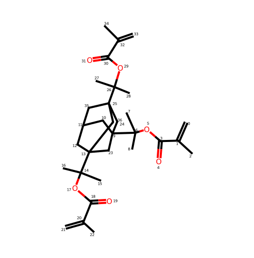 C=C(C)C(=O)OC(C)(C)C12CC3CC(C(C)(C)OC(=O)C(=C)C)(C1)CC(C(C)(C)OC(=O)C(=C)C)(C3)C2